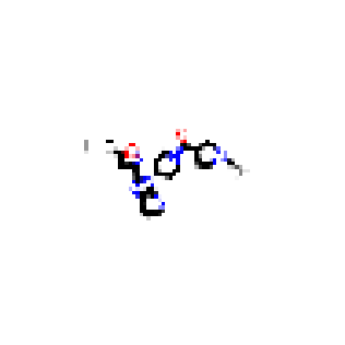 CCN1CCC(C(=O)N2CCC(n3c(-c4cc(C)on4)nc4cccnc43)CC2)CC1